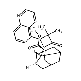 COC(=O)[C@]12CC3CC(C1)[C@@H](N1C(=O)C(C)(C)C1c1cccc4ncccc14)[C@@H](C3)C2